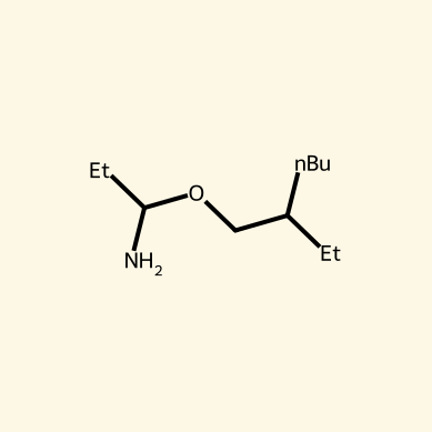 [CH2]CC(N)OCC(CC)CCCC